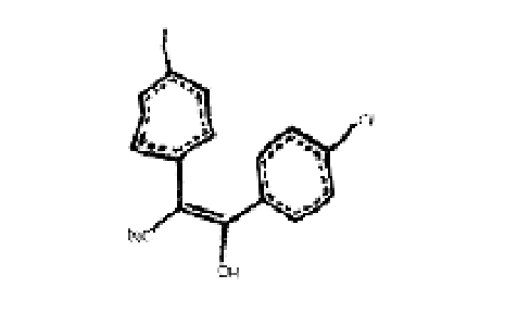 Cc1ccc(/C(C#N)=C(/O)c2ccc(Cl)cc2)cc1